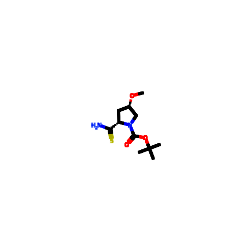 CO[C@H]1C[C@@H](C(N)=S)N(C(=O)OC(C)(C)C)C1